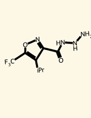 CC(C)c1c(C(=O)NNN)noc1C(F)(F)F